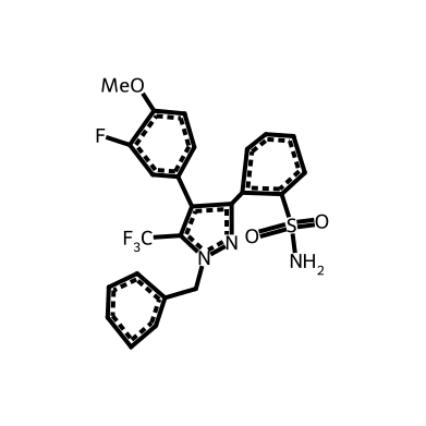 COc1ccc(-c2c(-c3ccccc3S(N)(=O)=O)nn(Cc3ccccc3)c2C(F)(F)F)cc1F